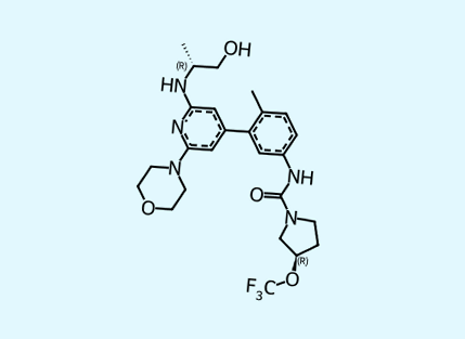 Cc1ccc(NC(=O)N2CC[C@@H](OC(F)(F)F)C2)cc1-c1cc(N[C@H](C)CO)nc(N2CCOCC2)c1